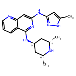 Cc1cc(Nc2cc3ncccc3c(N[C@@H]3C[C@@H](C)N[C@@H](C)C3)n2)n[nH]1